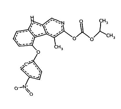 Cc1c(OC(=O)OC(C)C)ncc2[nH]c3cccc(Oc4ccc([N+](=O)[O-])cc4)c3c12